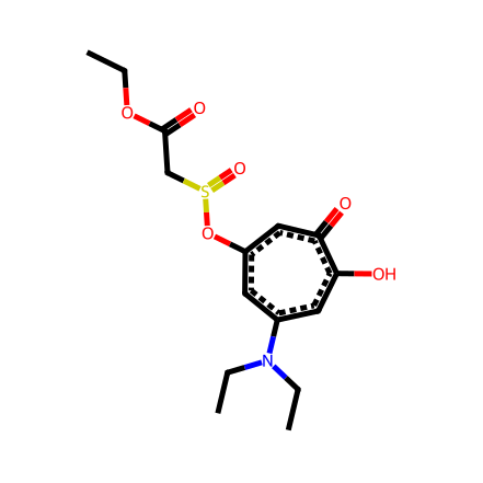 CCOC(=O)CS(=O)Oc1cc(N(CC)CC)cc(O)c(=O)c1